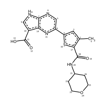 Cc1cc(-c2cnc3[nH]cc(C(=O)O)c3n2)sc1C(=O)NC1CCOCC1